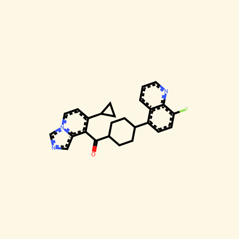 O=C(c1c(C2CC2)ccn2cncc12)C1CCC(c2ccc(F)c3ncccc23)CC1